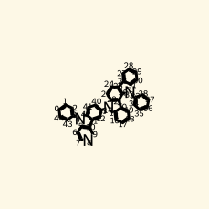 c1ccc(-n2c3ccncc3c3cc(-n4c5ccccc5c5c4ccc4c6ccccc6n(-c6ccccc6)c45)ccc32)cc1